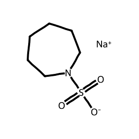 O=S(=O)([O-])N1CCCCCC1.[Na+]